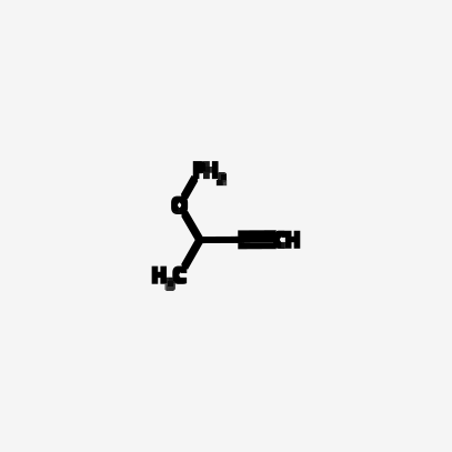 C#CC(C)OP